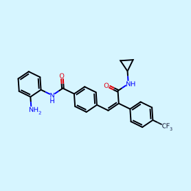 Nc1ccccc1NC(=O)c1ccc(/C=C(\C(=O)NC2CC2)c2ccc(C(F)(F)F)cc2)cc1